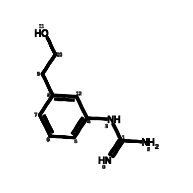 N=C(N)Nc1cccc(CCO)c1